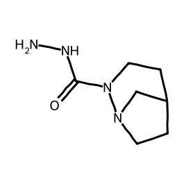 NNC(=O)N1CCC2CCN1C2